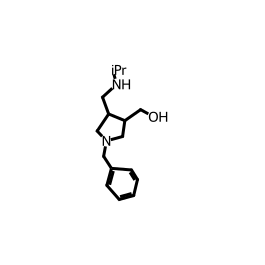 CC(C)NCC1CN(Cc2ccccc2)CC1CO